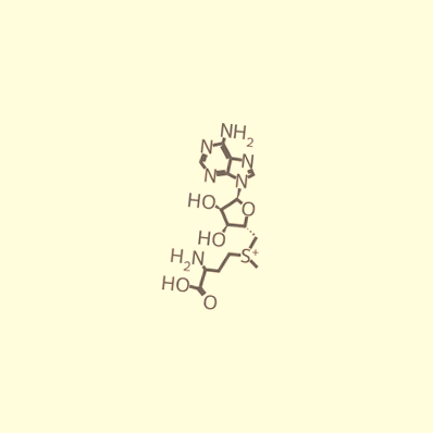 C[S+](CCC(N)C(=O)O)C[C@H]1O[C@H](n2cnc3c(N)ncnc32)[C@H](O)[C@@H]1O